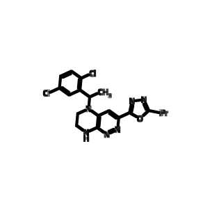 CC(C)c1nnc(-c2cc3c(nn2)NCCN3C(C)c2cc(Cl)ccc2Cl)o1